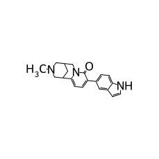 CN1CC2CC(C1)c1ccc(-c3ccc4[nH]ccc4c3)c(=O)n1C2